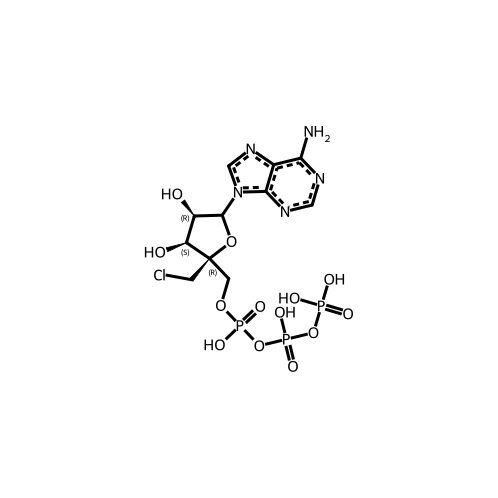 Nc1ncnc2c1ncn2C1O[C@](CCl)(COP(=O)(O)OP(=O)(O)OP(=O)(O)O)[C@@H](O)[C@H]1O